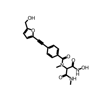 CNC(=O)C(C(=O)NO)N(C)C(=O)c1ccc(C#Cc2ccc(CO)o2)cc1